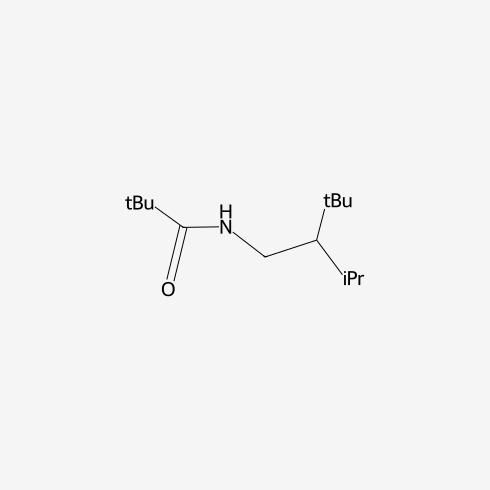 CC(C)C(CNC(=O)C(C)(C)C)C(C)(C)C